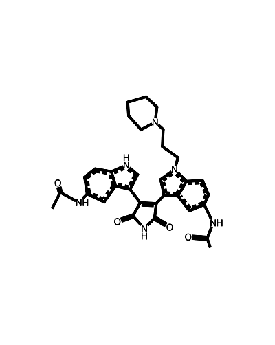 CC(=O)Nc1ccc2[nH]cc(C3=C(c4cn(CCCN5CCCCC5)c5ccc(NC(C)=O)cc45)C(=O)NC3=O)c2c1